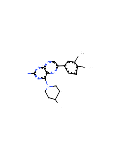 COc1ccc(-c2cnc3nc(N)nc(N4CCC(C)CC4)c3n2)cc1OC